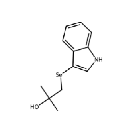 CC(C)(O)C[Se]c1c[nH]c2ccccc12